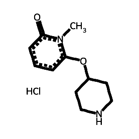 Cl.Cn1c(OC2CCNCC2)cccc1=O